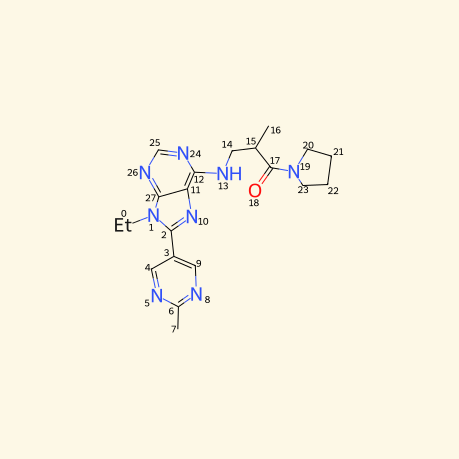 CCn1c(-c2cnc(C)nc2)nc2c(NCC(C)C(=O)N3CCCC3)ncnc21